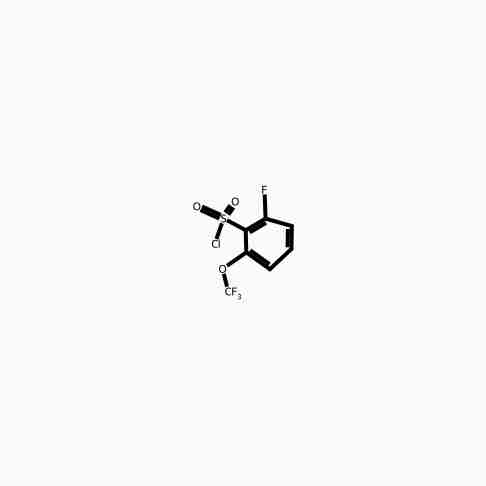 O=S(=O)(Cl)c1c(F)cccc1OC(F)(F)F